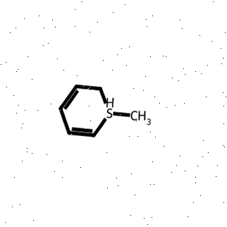 C[SH]1C=CC=CC1